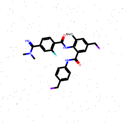 COc1cc(CI)cc(C(=O)Nc2ccc(CI)cc2)c1NC(=O)c1ccc(C(=N)N(C)C)cc1F